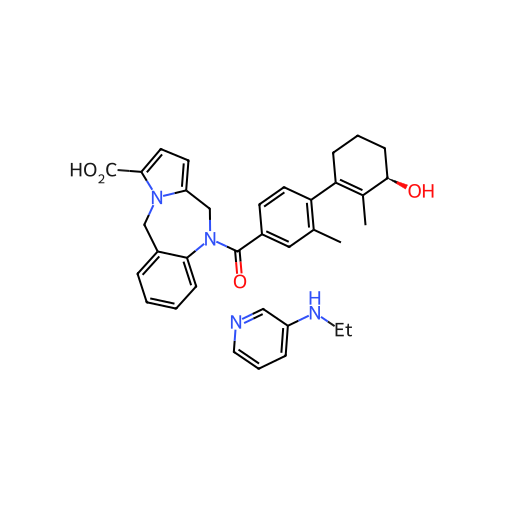 CC1=C(c2ccc(C(=O)N3Cc4ccc(C(=O)O)n4Cc4ccccc43)cc2C)CCC[C@H]1O.CCNc1cccnc1